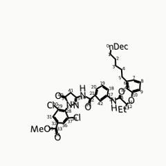 CCCCCCCCCCCCCCCc1cccc(OC(CC)C(=O)Nc2cccc(C(=O)NC3=NN(c4c(Cl)cc(C(=O)OC)cc4Cl)C(=O)C3)c2)c1